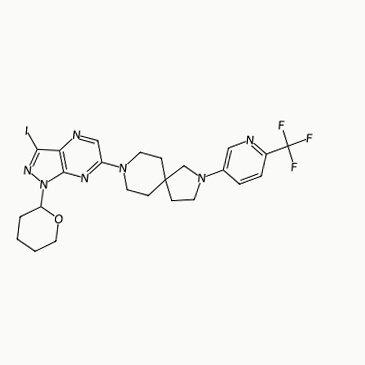 FC(F)(F)c1ccc(N2CCC3(CCN(c4cnc5c(I)nn(C6CCCCO6)c5n4)CC3)C2)cn1